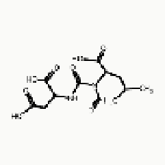 CC(C)CC(C(=O)O)N([C]=O)C(=O)NC(CC(=O)O)C(=O)O